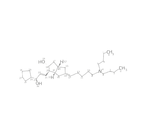 CCCCN(CCCC)CCCC/C=C1\C[C@H]2C[C@@H](O)[C@H](/C=C/[C@@H](O)C3CCCC3)[C@H]2C1